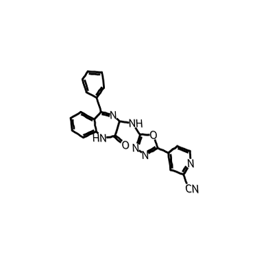 N#Cc1cc(-c2nnc(NC3N=C(c4ccccc4)c4ccccc4NC3=O)o2)ccn1